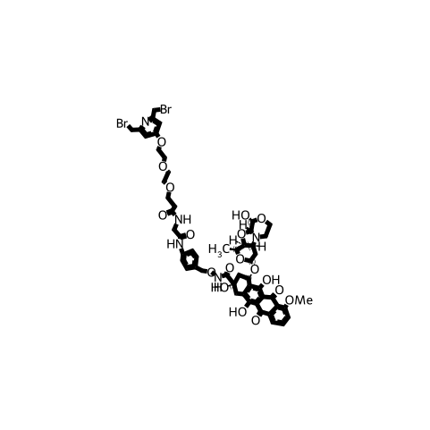 COc1cccc2c1C(=O)c1c(O)c3c(c(O)c1C2=O)C[C@@](O)(C(=O)NOCc1ccc(NC(=O)CNC(=O)CCOCCOCCOc2cc(CBr)nc(CBr)c2)cc1)C[C@@H]3O[C@H]1C[C@H]2[C@H](O[C@@H]3[C@@H](O)OCCN32)[C@H](C)O1